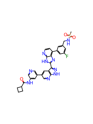 CS(=O)(=O)NCc1cc(F)cc(-c2ccnc3[nH]c(-c4n[nH]c5ncc(-c6cncc(NC(=O)C7CCC7)c6)cc45)nc23)c1